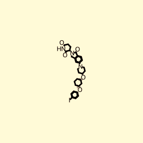 O=C1CCC(N2Cc3cc(N4CCC(O[C@H]5CCC[C@@H](Oc6ccc(I)cc6)C5)CC4)ccc3C2=O)C(=O)N1